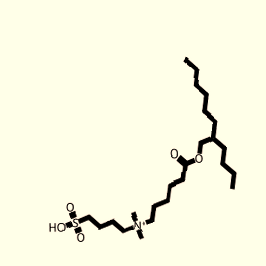 CCCCCCC(CCCC)COC(=O)CCCCC[N+](C)(C)CCCCS(=O)(=O)O